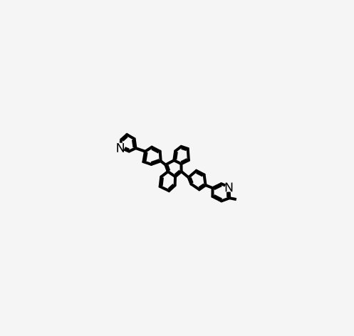 Cc1ccc(-c2ccc(-c3c4ccccc4c(-c4ccc(-c5cccnc5)cc4)c4ccccc34)cc2)cn1